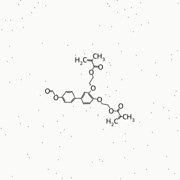 C=C(C)C(=O)OCCOc1ccc(-c2ccc(OC=O)cc2)cc1OCCOC(=O)C(=C)C